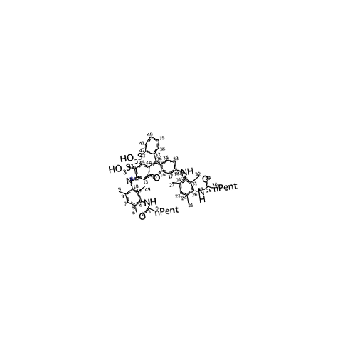 CCCCCC(=O)Nc1c(C)cc(C)c(/N=c2\cc3oc4cc(Nc5c(C)cc(C)c(NC(=O)CCCCC)c5C)ccc4c(-c4ccccc4S(=O)(=O)O)c-3cc2S(=O)(=O)O)c1C